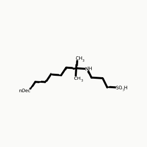 CCCCCCCCCCCCCCCC(C)(C)NCCCS(=O)(=O)O